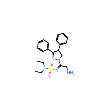 CCN(CC)S(=O)(=O)/N=C(/CN)N1CC(c2ccccc2)C(c2ccccc2)=N1